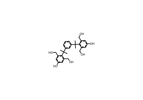 CC(C)(c1cccc(C(C)(C)c2c(CO)cc(O)cc2CO)c1)c1c(CO)cc(O)cc1CO